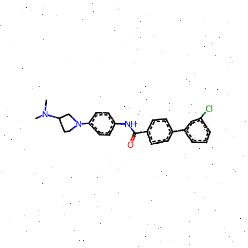 CN(C)C1CCN(c2ccc(NC(=O)c3ccc(-c4cccc(Cl)c4)cc3)cc2)C1